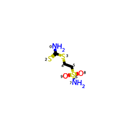 NC(=S)SCCS(N)(=O)=O